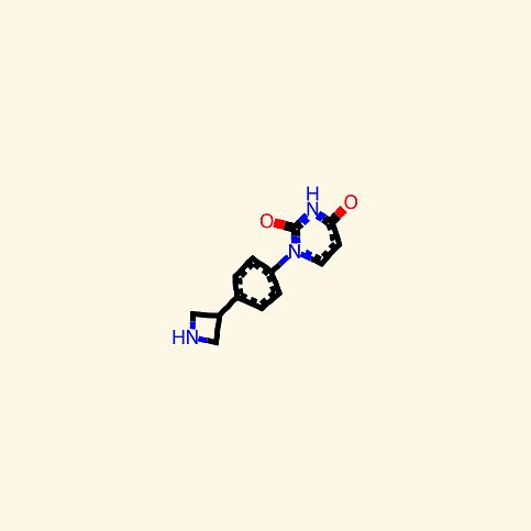 O=c1ccn(-c2ccc(C3CNC3)cc2)c(=O)[nH]1